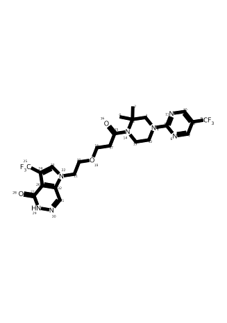 CC1(C)CN(c2ncc(C(F)(F)F)cn2)CCN1C(=O)CCOCCn1cc(C(F)(F)F)c2c(=O)[nH]ncc21